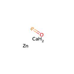 O=[P].[CaH2].[Zn]